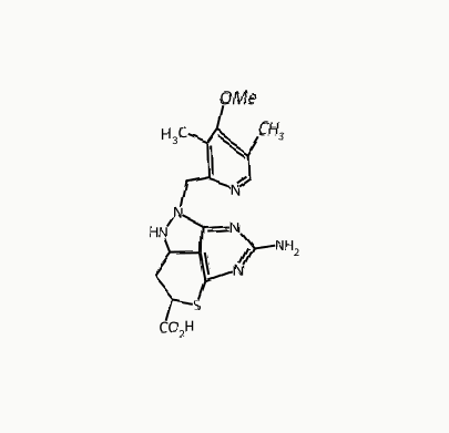 COc1c(C)cnc(CN2NC3CC(C(=O)O)Sc4nc(N)nc2c43)c1C